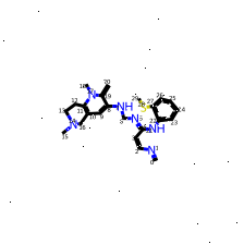 C=N/C=C\C(=N/CNC1=CC2=C(CCN(C)C2)N(C)C1=C)Nc1ccccc1SC